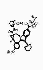 COc1ccc2c(c1)[C@@H]1C[C@]1(C(=O)N[C@@H]1C3CCC(C)([C@@H]1O)C3(C)C)Cn1c-2c(C2CCCCC2)c2ccc(C(=O)NS(=O)(=O)N(C)C)cc21